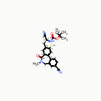 CN1Cc2cc(C#N)ccc2-c2cc(F)c(C[C@@H](C#N)NC(=O)OC(C)(C)C)cc2C1=O